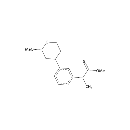 COC(=S)C(C)c1cccc(C2CCOC(OC)C2)c1